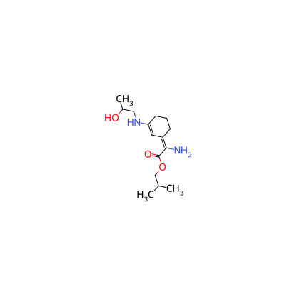 CC(C)COC(=O)/C(N)=C1\C=C(NCC(C)O)CCC1